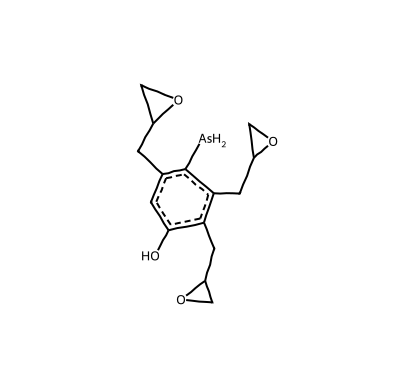 Oc1cc(CC2CO2)c([AsH2])c(CC2CO2)c1CC1CO1